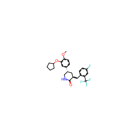 COc1ccc([C@H]2CNC(=O)C(=Cc3ccc(F)cc3C(F)(F)F)C2)cc1OC1CCCC1